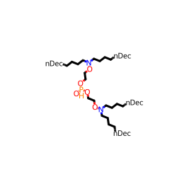 CCCCCCCCCCCCCCN(CCCCCCCCCCCCCC)OCCO[PH](=O)OCCON(CCCCCCCCCCCCCC)CCCCCCCCCCCCCC